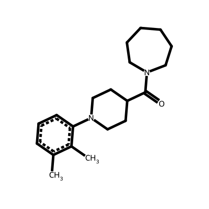 Cc1cccc(N2CCC(C(=O)N3CCCCCC3)CC2)c1C